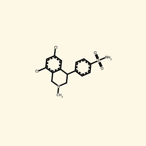 CN1Cc2c(Cl)cc(Cl)cc2C(c2ccc(S(N)(=O)=O)cc2)C1